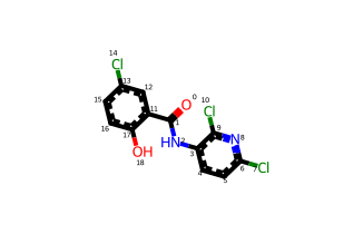 O=C(Nc1ccc(Cl)nc1Cl)c1cc(Cl)ccc1O